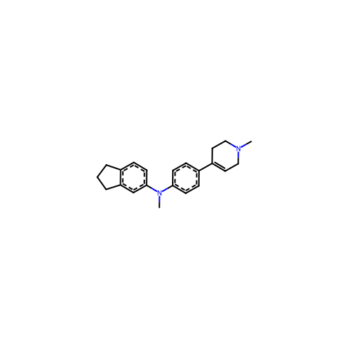 CN1CC=C(c2ccc(N(C)c3ccc4c(c3)CCC4)cc2)CC1